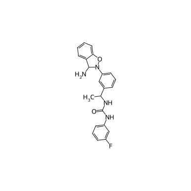 CC(NC(=O)Nc1cccc(F)c1)c1cccc(N2Oc3ccccc3C2N)c1